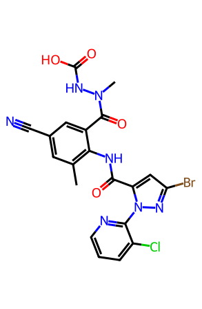 Cc1cc(C#N)cc(C(=O)N(C)NC(=O)O)c1NC(=O)c1cc(Br)nn1-c1ncccc1Cl